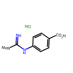 CNC(=N)Nc1ccc(C(=O)O)cc1.Cl